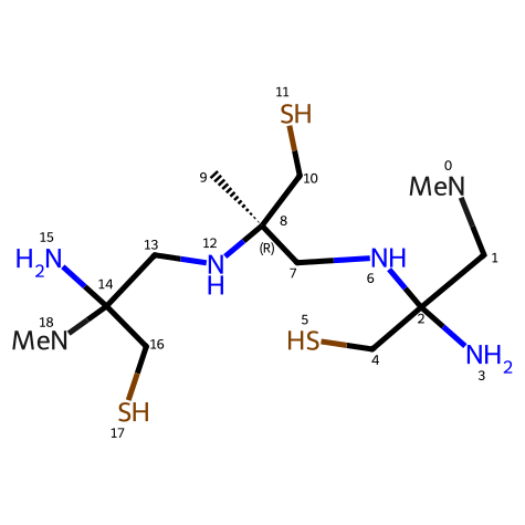 CNCC(N)(CS)NC[C@](C)(CS)NCC(N)(CS)NC